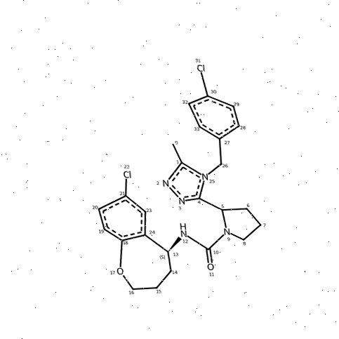 Cc1nnc(C2CCCN2C(=O)N[C@H]2CCCOc3ccc(Cl)cc32)n1Cc1ccc(Cl)cc1